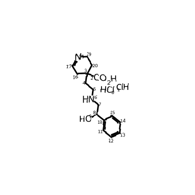 Cl.Cl.O=C(O)C1(CCNC[C@H](O)c2ccccc2)CC=NCC1